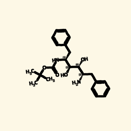 CC(C)(C)OC(=O)N[C@@H](Cc1ccccc1)[C@H](O)[C@H](O)[C@@H](N)Cc1ccccc1